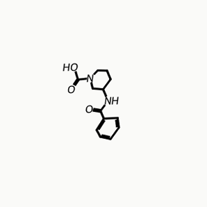 O=C(NC1CCCN(C(=O)O)C1)c1ccccc1